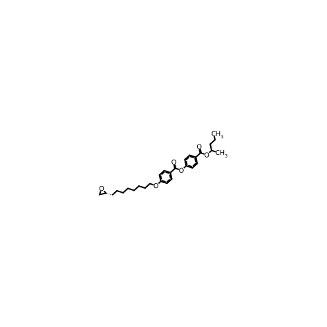 CCCC(C)OC(=O)c1ccc(OC(=O)c2ccc(OCCCCCCCC[C@@H]3CO3)cc2)cc1